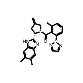 C=C1C[C@@H](c2nc3cc(C)c(C)cc3[nH]2)N(C(=O)c2c(C)cccc2-n2nccn2)C1